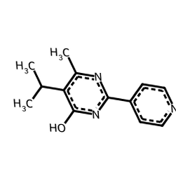 Cc1nc(-c2ccncc2)nc(O)c1C(C)C